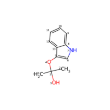 [CH2]C(C)(O)Oc1c[nH]c2ccccc12